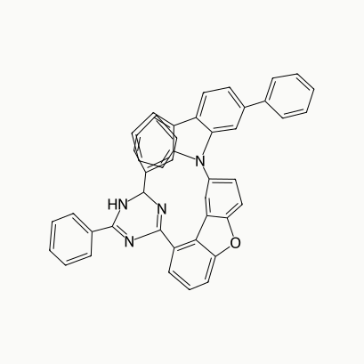 c1ccc(C2=NC(c3cccc4oc5ccc(-n6c7ccccc7c7ccc(-c8ccccc8)cc76)cc5c34)=NC(c3ccccc3)N2)cc1